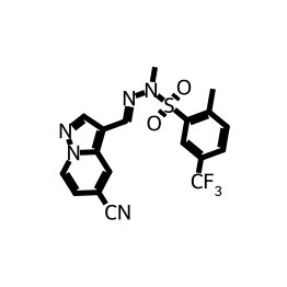 Cc1ccc(C(F)(F)F)cc1S(=O)(=O)N(C)N=Cc1cnn2ccc(C#N)cc12